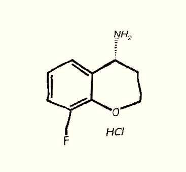 Cl.N[C@@H]1CCOc2c(F)cccc21